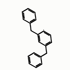 [c]1ccc(Cc2ccccc2)cc1Cc1ccccc1